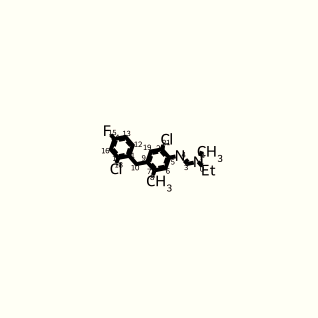 CCN(C)C=Nc1cc(C)c(Cc2ccc(F)cc2Cl)cc1Cl